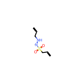 C=CCN[N]S(=O)(=O)CC=C